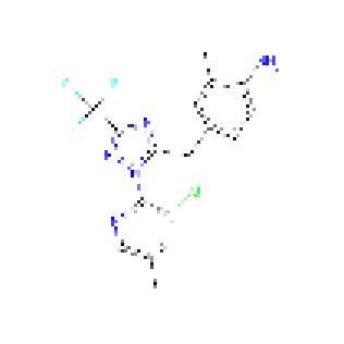 Cc1cnc(-n2nc(C(F)(F)F)nc2Cc2ccc(N)c(C)c2)c(Cl)c1